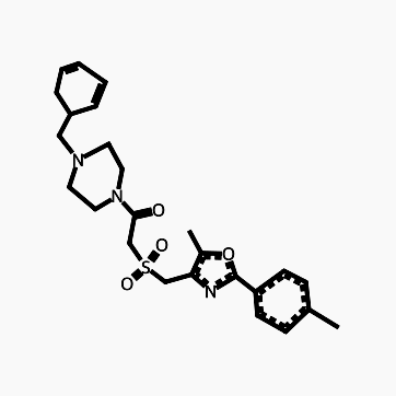 Cc1ccc(-c2nc(CS(=O)(=O)CC(=O)N3CCN(CC4C=CC=CC4)CC3)c(C)o2)cc1